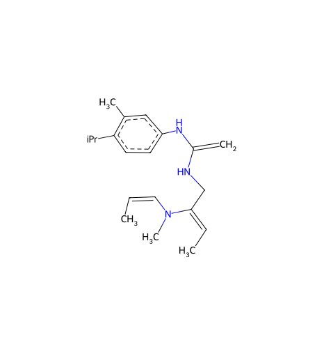 C=C(NCC(=CC)N(C)/C=C\C)Nc1ccc(C(C)C)c(C)c1